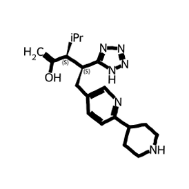 C=C(O)[C@@H](C(C)C)[C@H](Cc1ccc(C2CCNCC2)nc1)c1nnn[nH]1